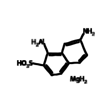 Nc1ccc2ccc(S(=O)(=O)O)[c]([AlH2])c2c1.[MgH2]